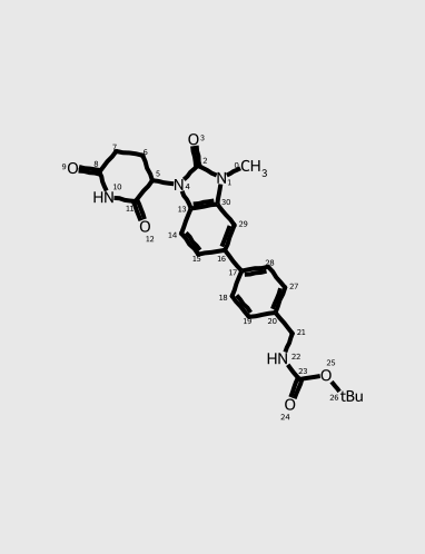 Cn1c(=O)n(C2CCC(=O)NC2=O)c2ccc(-c3ccc(CNC(=O)OC(C)(C)C)cc3)cc21